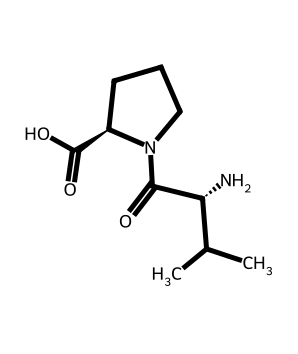 CC(C)[C@@H](N)C(=O)N1CCC[C@@H]1C(=O)O